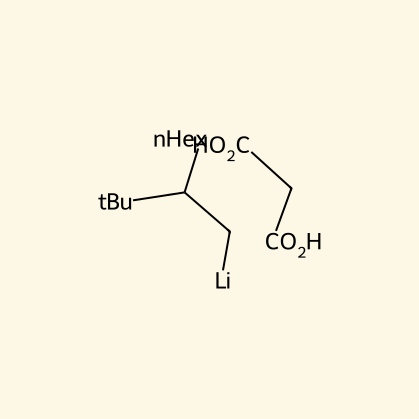 O=C(O)CC(=O)O.[Li][CH2]C(CCCCCC)C(C)(C)C